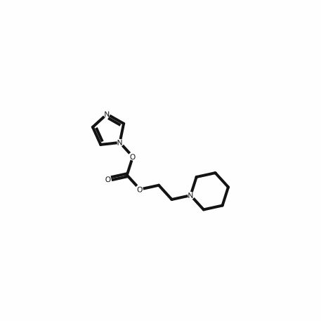 O=C(OCCN1CCCCC1)On1ccnc1